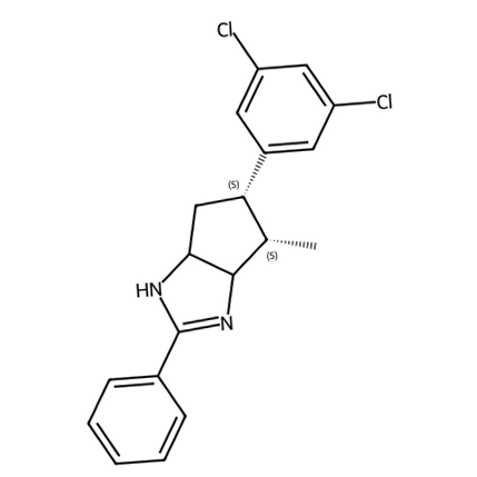 C[C@@H]1C2N=C(c3ccccc3)NC2C[C@@H]1c1cc(Cl)cc(Cl)c1